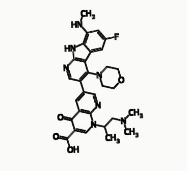 CNc1cc(F)cc2c1[nH]c1ncc(-c3cnc4c(c3)c(=O)c(C(=O)O)cn4C(C)CN(C)C)c(N3CCOCC3)c12